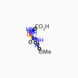 COc1ccc(-c2ccc3c4c(ccc3n2)-c2c(C3CCCCC3)c3sc(C(=O)NC5(c6nc7ccc(C(=O)O)cc7[nH]6)CCCC5)cc3n2CCN4)cc1